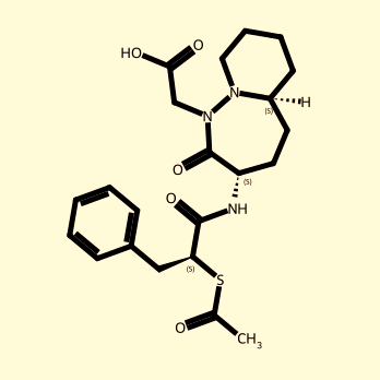 CC(=O)S[C@@H](Cc1ccccc1)C(=O)N[C@H]1CC[C@@H]2CCCCN2N(CC(=O)O)C1=O